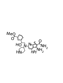 CCCc1cc(N(CC(O)c2cccc(C(=O)OC)c2)C2CCNCC2)nc2sc(C(N)=O)c(N)c12